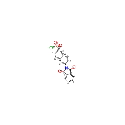 O=C1c2ccccc2C(=O)N1c1ccc2cc(S(=O)(=O)Cl)ccc2c1